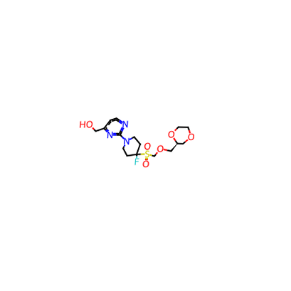 O=S(=O)(COC[C@@H]1COCCO1)C1(F)CCN(c2nccc(CO)n2)CC1